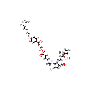 CCCCCCCCCCCCCCCCOc1ccc(C(=O)OCCOC(=O)CCC/C=C\C[C@@H]2[C@H](/C=C/C[C@H](O)C3(CC)CCC3)[C@H](O)C[C@@H]2Cl)cc1